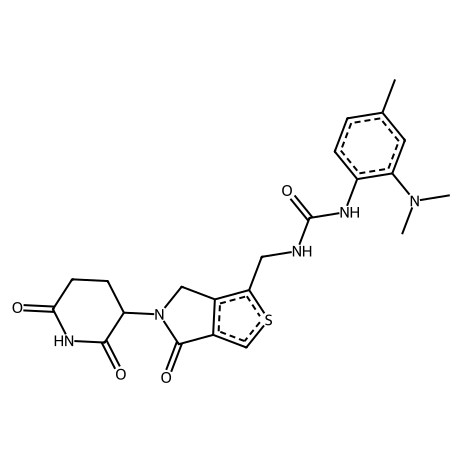 Cc1ccc(NC(=O)NCc2scc3c2CN(C2CCC(=O)NC2=O)C3=O)c(N(C)C)c1